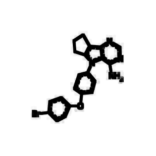 Nc1ncnc2c3c(n(-c4ccc(Oc5ccc(Br)cc5)cc4)c12)CCC3